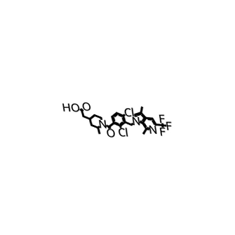 Cc1cn(Cc2c(Cl)ccc(C(=O)N3CCC(CC(=O)O)CC3C)c2Cl)c2c(C)nc(C(F)(F)F)cc12